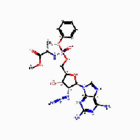 CC(C)OC(=O)[C@H](C)N[P@](=O)(OC[C@H]1O[C@@H](n2cnc3c(N)nc(N)nc32)[C@H](N=[N+]=[N-])[C@@H]1O)Oc1ccccc1